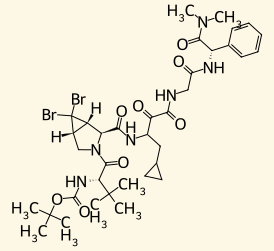 CN(C)C(=O)[C@@H](NC(=O)CNC(=O)C(=O)C(CC1CC1)NC(=O)[C@@H]1[C@@H]2[C@H](CN1C(=O)[C@@H](NC(=O)OC(C)(C)C)C(C)(C)C)C2(Br)Br)c1ccccc1